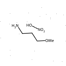 COCCCN.O=[N+]([O-])O